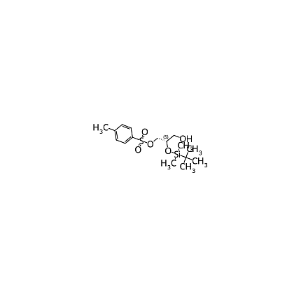 Cc1ccc(S(=O)(=O)OC[C@H](CO)O[Si](C)(C)C(C)(C)C)cc1